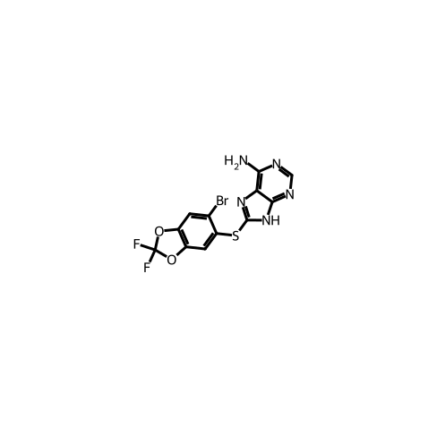 Nc1ncnc2[nH]c(Sc3cc4c(cc3Br)OC(F)(F)O4)nc12